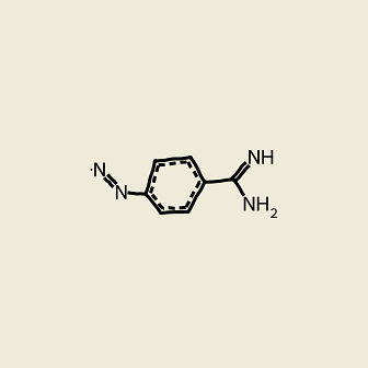 [N]=Nc1ccc(C(=N)N)cc1